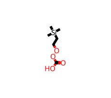 C[Si](C)(C)CCOOC(=O)O